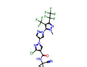 Cn1nc(C(F)(F)C(F)(F)F)c(C(F)(F)F)c1-n1cc(-n2cc(C(=O)NC3(C#N)CC3)c(Cl)n2)cn1